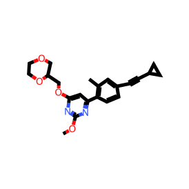 COc1nc(OCC2COCCO2)cc(-c2ccc(C#CC3CC3)cc2C)n1